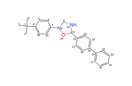 CC(C)(C)c1ccc(N2CNC(c3ccc(-c4ccccc4)cc3)O2)cc1